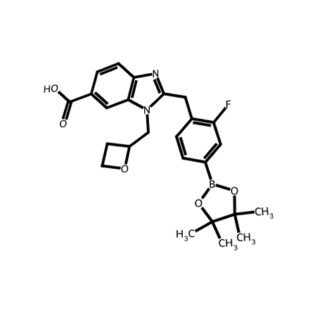 CC1(C)OB(c2ccc(Cc3nc4ccc(C(=O)O)cc4n3CC3CCO3)c(F)c2)OC1(C)C